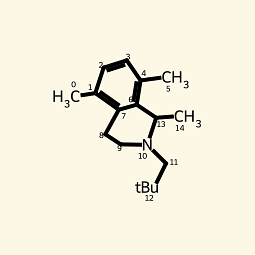 Cc1ccc(C)c2c1CCN(CC(C)(C)C)C2C